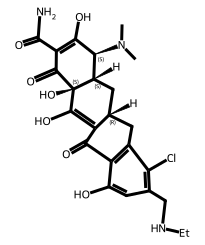 CCNCc1cc(O)c2c(c1Cl)C[C@H]1C[C@H]3[C@H](N(C)C)C(O)=C(C(N)=O)C(=O)[C@@]3(O)C(O)=C1C2=O